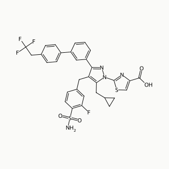 NS(=O)(=O)c1ccc(Cc2c(-c3cccc(-c4ccc(CC(F)(F)F)cc4)c3)nn(-c3nc(C(=O)O)cs3)c2CC2CC2)cc1F